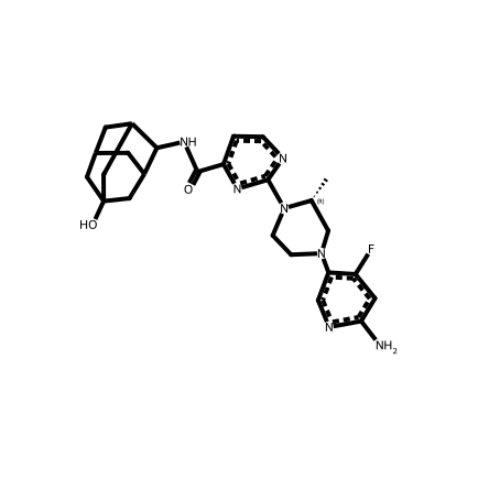 C[C@@H]1CN(c2cnc(N)cc2F)CCN1c1nccc(C(=O)NC2C3CC4CC2CC(O)(C4)C3)n1